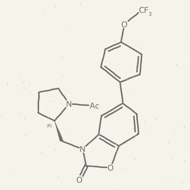 CC(=O)N1CCC[C@@H]1Cn1c(=O)oc2ccc(-c3ccc(OC(F)(F)F)cc3)cc21